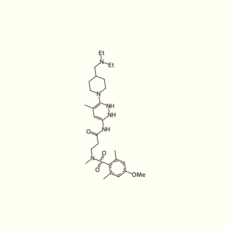 CCN(CC)CC1CCN(C2=C(C)C=C(NC(=O)CCN(C)S(=O)(=O)c3c(C)cc(OC)cc3C)NN2)CC1